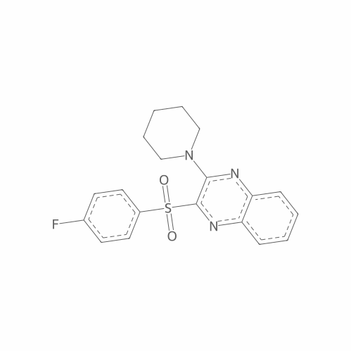 O=S(=O)(c1ccc(F)cc1)c1nc2ccccc2nc1N1CCCCC1